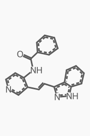 O=C(Nc1ccncc1C=Cc1n[nH]c2ccccc12)c1ccccc1